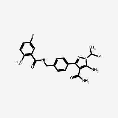 Cc1ccc(F)cc1C(=O)NCc1ccc(-c2nn(C(C)C(C)C)c(N)c2C(N)=O)cc1